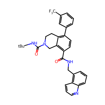 CC(C)(C)NC(=O)N1CCc2c(-c3cccc(C(F)(F)F)c3)ccc(C(=O)NCc3cccc4ncccc34)c2C1